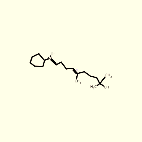 C/C(=C\CCC=[N+]([O-])C1CCCCC1)CCCC(C)(C)O